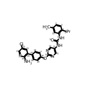 Cc1ccc(C(C)C)c(NC(=O)Nc2cnc(Oc3ccc(-c4cc(Cl)cnc4N)cc3)nc2)c1